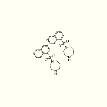 O=S(=O)(c1cccc2cnccc12)N1CCCNCC1.O=S(=O)(c1cccc2cnccc12)N1CCCNCC1